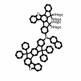 CCCCCCCC1(CCCCCCC)c2ccccc2-c2c1c1c(c3c2oc2ccccc23)-c2ccc(N(c3ccc4c(c3)C(c3ccccc3)(c3ccccc3)c3cc5c(cc3-4)C(c3ccccc3)(c3ccccc3)c3ccc4oc6ccccc6c4c3-5)c3ccc4ccccc4c3)cc2C1(CCCCCCC)CCCCCCC